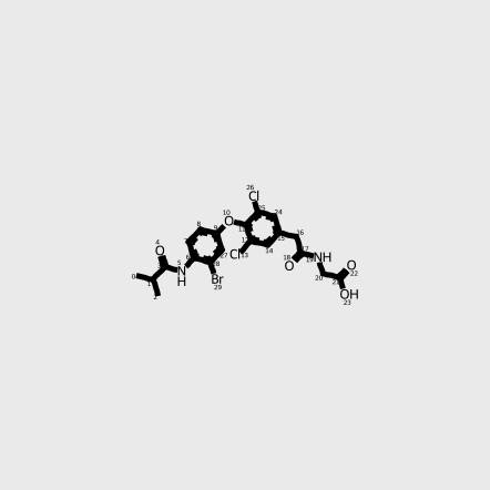 CC(C)C(=O)Nc1ccc(Oc2c(Cl)cc(CC(=O)NCC(=O)O)cc2Cl)cc1Br